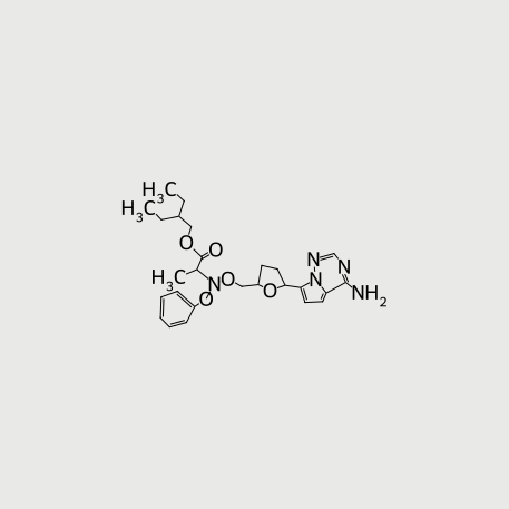 CCC(CC)COC(=O)C(C)N(OCC1CCC(c2ccc3c(N)ncnn23)O1)Oc1ccccc1